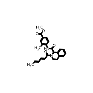 C/C=C/C=C/C(=O)N1CCc2ccccc2C1C(=O)Nc1ccc(C(=O)OC)cc1C